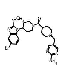 CSc1nc2cc(Br)ccc2n1C1CCN(C(=O)C2CCN(Cc3cnc(N)nc3)CC2)CC1